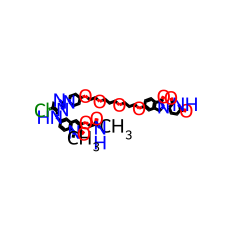 CNC(=O)COc1cc2cc(Nc3nc(N4CCC(OCCOCCCOCCCOc5ccc6c(c5)CN(C5CCC(=O)NC5=O)C6=O)CC4)ncc3Cl)ccc2n(C)c1=O